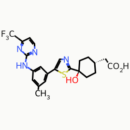 Cc1cc(Nc2nccc(C(F)(F)F)n2)cc(-c2cnc([C@]3(O)CC[C@H](CC(=O)O)CC3)s2)c1